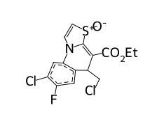 CCOC(=O)C1=C2N(C=C[S+]2[O-])c2cc(Cl)c(F)cc2C1CCl